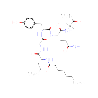 CCCCCCCCCCCCCCCC(=O)N[C@@H](CCSC)C(=O)NCC(=O)N[C@@H](Cc1ccc(O)cc1)C(=O)N[C@@H](CCC(N)=O)C(=O)NC(C)(C)C(=O)NC